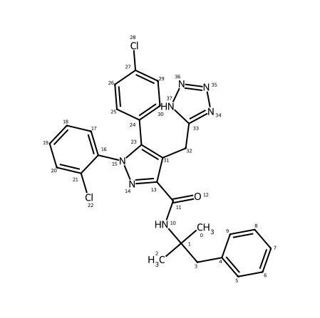 CC(C)(Cc1ccccc1)NC(=O)c1nn(-c2ccccc2Cl)c(-c2ccc(Cl)cc2)c1Cc1nnn[nH]1